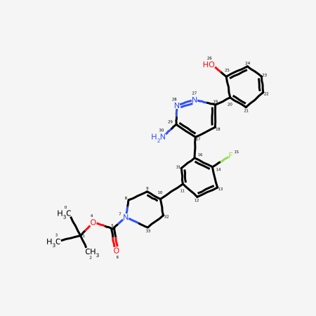 CC(C)(C)OC(=O)N1CC=C(c2ccc(F)c(-c3cc(-c4ccccc4O)nnc3N)c2)CC1